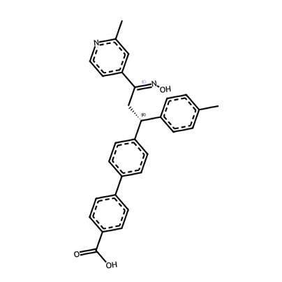 Cc1ccc([C@@H](C/C(=N\O)c2ccnc(C)c2)c2ccc(-c3ccc(C(=O)O)cc3)cc2)cc1